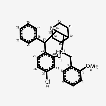 COc1ccccc1CNC1C2CCN(CC2)C1C(c1ccccc1)c1ccc(Cl)cc1Cl